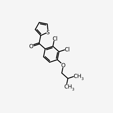 CC(C)COc1ccc(C(=O)c2cccs2)c(Cl)c1Cl